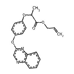 C=CCOC(=O)C(C)Oc1ccc(Oc2cnc3ccccc3n2)cc1